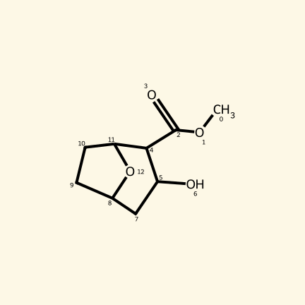 COC(=O)C1C(O)CC2CCC1O2